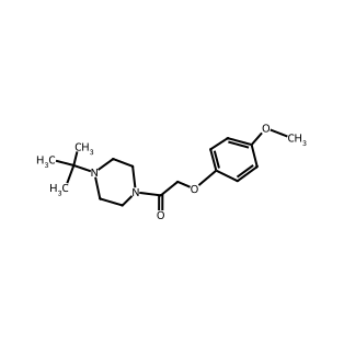 COc1ccc(OCC(=O)N2CCN(C(C)(C)C)CC2)cc1